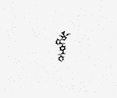 N#C[C@@]1(C2CC2)CCN(N2CC=CN=C2Nc2ccc(C(=O)NC3CCOCC3)cc2)C1=O